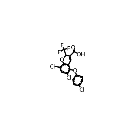 O=C(O)C1=Cc2c(Oc3ccc(Cl)cc3)c(Cl)cc(Cl)c2OC1C(F)(F)F